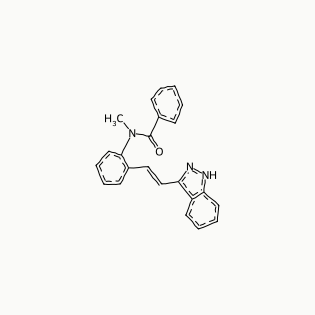 CN(C(=O)c1ccccc1)c1ccccc1/C=C/c1n[nH]c2ccccc12